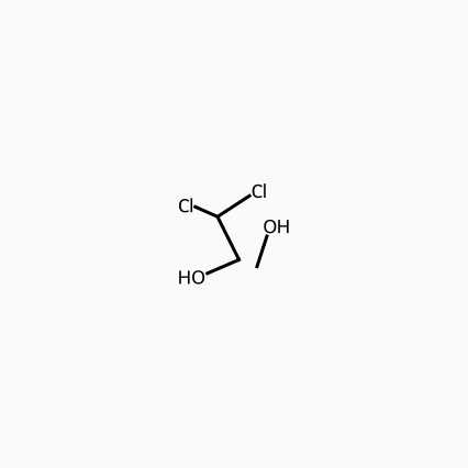 CO.OCC(Cl)Cl